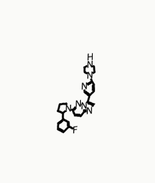 Fc1cccc(C2CCCN2c2ccc3ncc(-c4ccc(N5CCNCC5)nc4)n3n2)c1